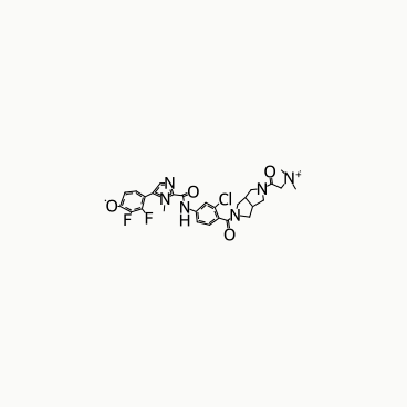 COc1ccc(-c2cnc(C(=O)Nc3ccc(C(=O)N4CC5CN(C(=O)C[N+](C)(C)C)CC5C4)c(Cl)c3)n2C)c(F)c1F